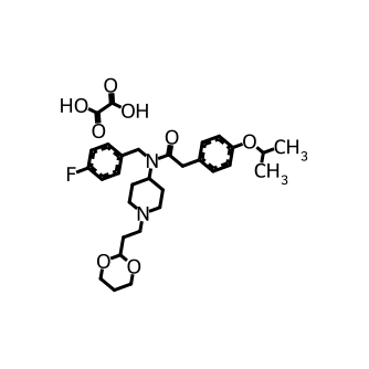 CC(C)Oc1ccc(CC(=O)N(Cc2ccc(F)cc2)C2CCN(CCC3OCCCO3)CC2)cc1.O=C(O)C(=O)O